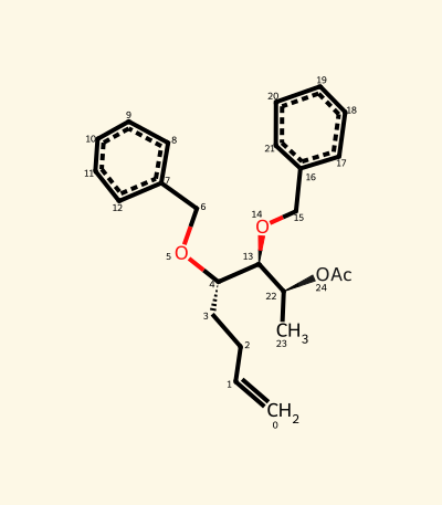 C=CCC[C@H](OCc1ccccc1)[C@@H](OCc1ccccc1)[C@H](C)OC(C)=O